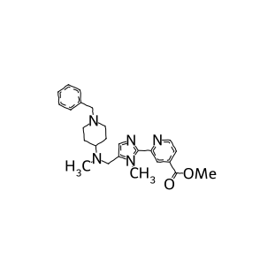 COC(=O)c1ccnc(-c2ncc(CN(C)C3CCN(Cc4ccccc4)CC3)n2C)c1